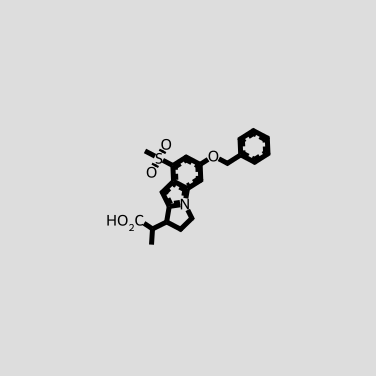 CC(C(=O)O)C1CCn2c1cc1c(S(C)(=O)=O)cc(OCc3ccccc3)cc12